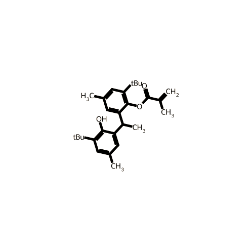 C=C(C)C(=O)Oc1c(C(C)c2cc(C)cc(C(C)(C)C)c2O)cc(C)cc1C(C)(C)C